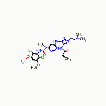 C=CC(=O)Nc1cn(CCN(C)C)nc1Nc1cc(N(C)C(=O)Nc2c(Cl)c(OC)cc(OC)c2Cl)ncn1